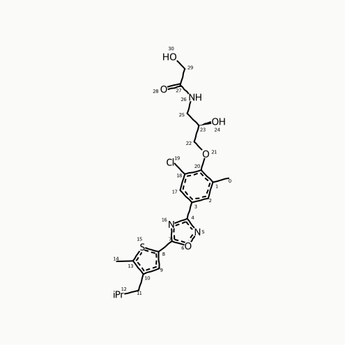 Cc1cc(-c2noc(-c3cc(CC(C)C)c(C)s3)n2)cc(Cl)c1OC[C@H](O)CNC(=O)CO